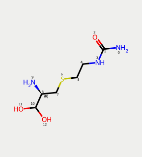 NC(=O)NCCSC[C@H](N)C(O)O